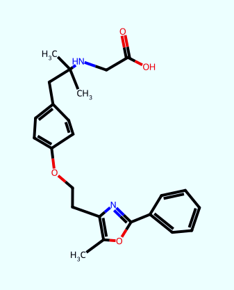 Cc1oc(-c2ccccc2)nc1CCOc1ccc(CC(C)(C)NCC(=O)O)cc1